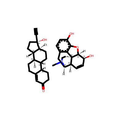 C#C[C@]1(O)CC[C@H]2[C@@H]3CCC4=CC(=O)CC[C@@H]4[C@H]3CC[C@@]21CC.CN1CC[C@]23c4c5ccc(O)c4O[C@H]2[C@@H](O)C=C[C@H]3[C@H]1C5